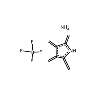 C=c1[nH]c(=C)c(=C)c1=C.F[B-](F)(F)F.[NH4+]